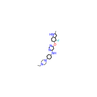 CCN1CCN(c2ccc(Nc3cc(Oc4ccc5[nH]c(C)cc5c4F)ncn3)cc2)CC1